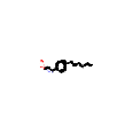 CCCCCCc1ccc(/C=C/C=O)cc1